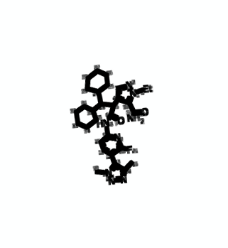 CCn1ncc(C(C(=O)Nc2ccc(-c3c(C)nnn3C)c(F)n2)C(C2CCCCC2)C2CCCCC2)c1C(N)=O